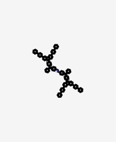 C1=CC2C(C=C1c1ccc(-c3ccccc3)cc1)c1cc(-c3ccc(-c4ccccc4)cc3)ccc1N2c1ccc(N(c2ccccc2)c2ccc(/C=C/c3ccc(N(C4=CC=C(n5c6ccc(-c7ccc(-c8ccccc8)cc7)cc6c6cc(-c7ccc(-c8ccccc8)cc7)ccc65)CC4)c4ccccc4)cc3)cc2)cc1